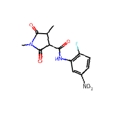 CC1C(=O)N(C)C(=O)C1C(=O)Nc1cc([N+](=O)[O-])ccc1F